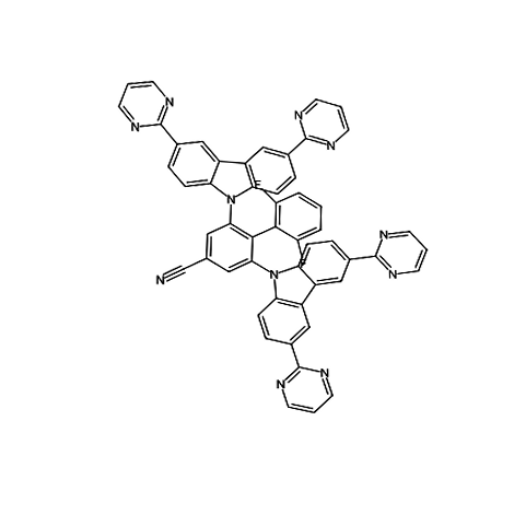 N#Cc1cc(-n2c3ccc(-c4ncccn4)cc3c3cc(-c4ncccn4)ccc32)c(-c2c(F)cccc2F)c(-n2c3ccc(-c4ncccn4)cc3c3cc(-c4ncccn4)ccc32)c1